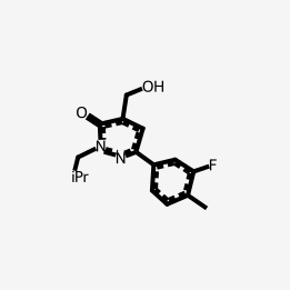 Cc1ccc(-c2cc(CO)c(=O)n(CC(C)C)n2)cc1F